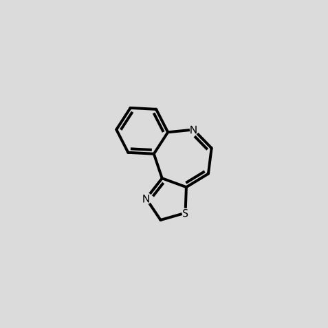 C1=Nc2ccccc2C2=NCSC2=C1